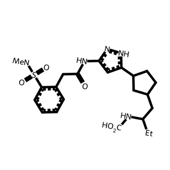 CCC(CC1CCC(c2cc(NC(=O)Cc3ccccc3S(=O)(=O)NC)n[nH]2)C1)NC(=O)O